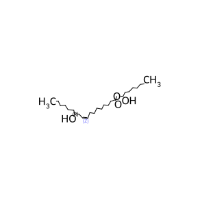 CCCCCCCC(O)OC(=O)CCCCCCC/C=C\C[C@H](O)CCCCCC